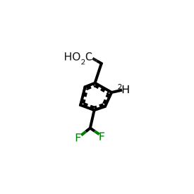 [2H]c1cc(C(F)F)ccc1CC(=O)O